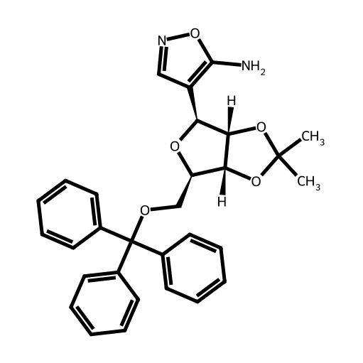 CC1(C)O[C@@H]2[C@H](O1)[C@@H](COC(c1ccccc1)(c1ccccc1)c1ccccc1)O[C@H]2c1cnoc1N